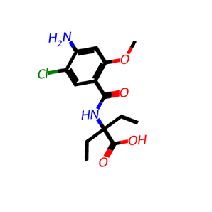 CCC(CC)(NC(=O)c1cc(Cl)c(N)cc1OC)C(=O)O